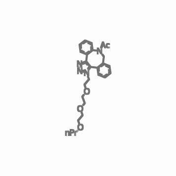 CCCOCCOCCOCCn1nnc2c1-c1ccccc1CN(C(C)=O)c1ccccc1-2